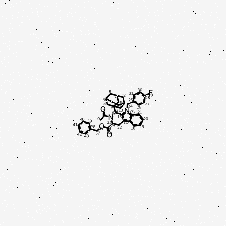 CC(=O)N1[C@H](C23CC4CC(CC(C4)C2)C3)c2c(c3ccccc3n2Cc2ccc(F)cc2)C[C@H]1C(=O)OCc1ccccc1